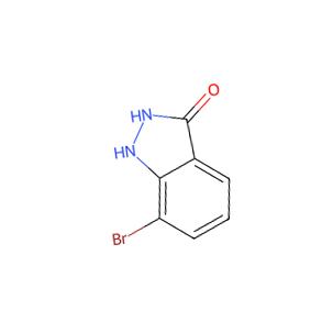 O=c1[nH][nH]c2c(Br)cccc12